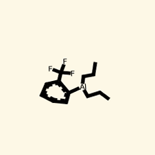 CC[CH2][Al]([CH2]CC)[c]1ccccc1C(F)(F)F